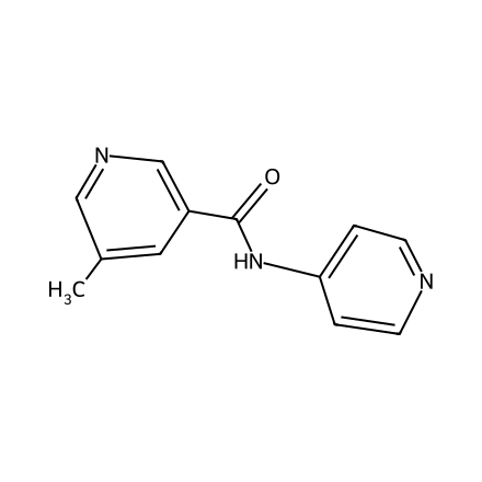 Cc1cncc(C(=O)Nc2ccncc2)c1